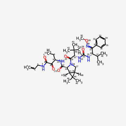 C=CCNC(=O)C(=O)C(CC)NC(=O)[C@@H]1[C@@H]2[C@H](CN1C(=O)[C@@H](NC(=O)N[C@H](/C(=N/OC)c1ccccc1)C(C)C)C(C)(C)C)C2(C)C